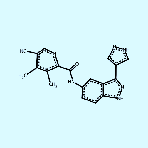 Cc1c(C#N)cnc(C(=O)Nc2ccc3[nH]nc(-c4cn[nH]c4)c3c2)c1C